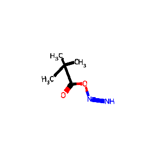 CC(C)(C)C(=O)ON=N